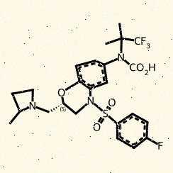 CC1CCN1C[C@H]1CN(S(=O)(=O)c2ccc(F)cc2)c2cc(N(C(=O)O)C(C)(C)C(F)(F)F)ccc2O1